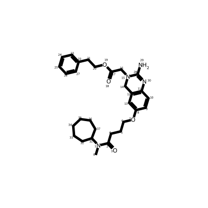 CN(C(=O)CCCOc1ccc2c(c1)CN(CC(=O)OCCc1ccccc1)C(N)=N2)C1CCCCCC1